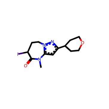 CN1C(=O)C(I)CCn2nc(C3CCOCC3)cc21